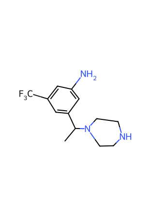 CC(c1cc(N)cc(C(F)(F)F)c1)N1CCNCC1